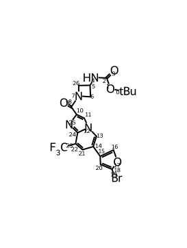 CC(C)(C)OC(=O)NC1CN(C(=O)c2cn3cc(-c4coc(Br)c4)cc(C(F)(F)F)c3n2)C1